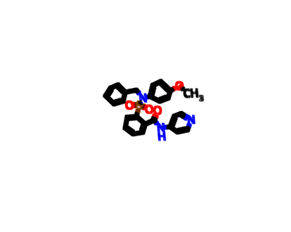 COc1ccc(N(Cc2ccccc2)S(=O)(=O)c2ccccc2C(=O)Nc2ccncc2)cc1